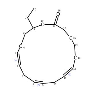 CCC1CC/C=C\C/C=C\C/C=C\CCCCC(=O)O1